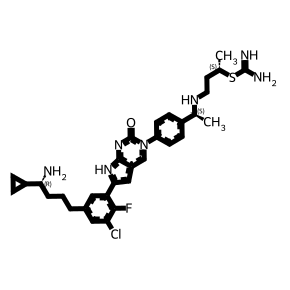 C[C@H](NCC[C@H](C)SC(=N)N)c1ccc(-n2cc3cc(-c4cc(CCC[C@@H](N)C5CC5)cc(Cl)c4F)[nH]c3nc2=O)cc1